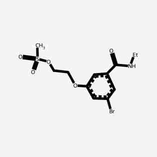 CCNC(=O)c1cc(Br)cc(OCCOS(C)(=O)=O)c1